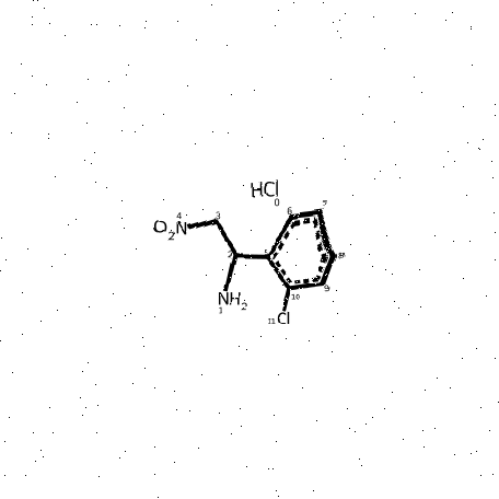 Cl.NC(C[N+](=O)[O-])c1ccccc1Cl